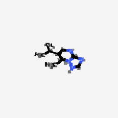 Cc1c(C(C)C)cnc2ncnn12